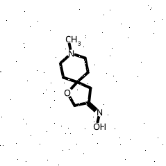 CN1CCC2(CC1)CC(=NO)CO2